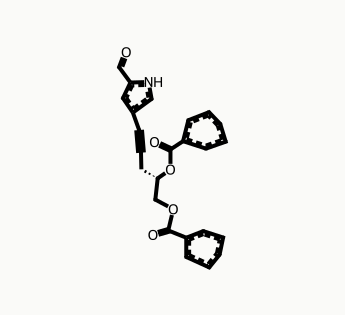 O=Cc1cc(C#CC[C@@H](COC(=O)c2ccccc2)OC(=O)c2ccccc2)c[nH]1